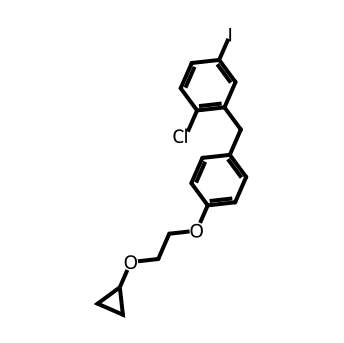 Clc1ccc(I)cc1Cc1ccc(OCCOC2CC2)cc1